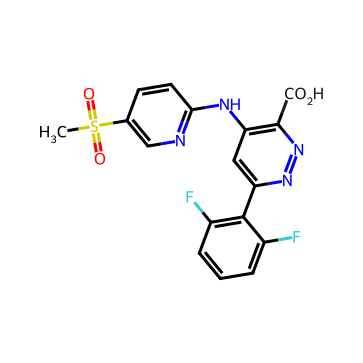 CS(=O)(=O)c1ccc(Nc2cc(-c3c(F)cccc3F)nnc2C(=O)O)nc1